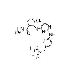 CC(C)NC(=O)[C@H]1CCC[C@H]1Nc1nc(Nc2ccc(CN(C)C)cc2)ncc1Cl